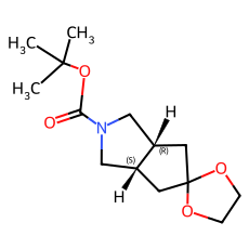 CC(C)(C)OC(=O)N1C[C@@H]2CC3(C[C@@H]2C1)OCCO3